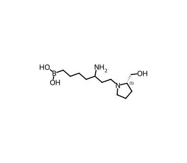 NC(CCCCB(O)O)CCN1CCC[C@H]1CO